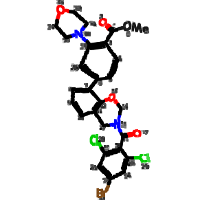 COC(=O)c1ccc(-c2cccc3c2OCN(C(=O)c2c(Cl)cc(Br)cc2Cl)C3)cc1N1CCOCC1